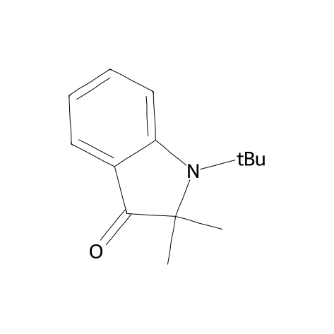 CC(C)(C)N1c2ccccc2C(=O)C1(C)C